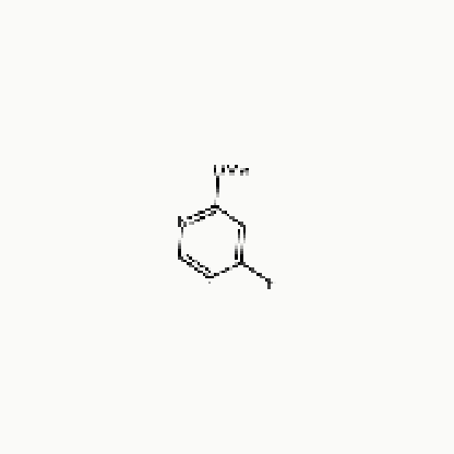 COc1cc(F)[c]cn1